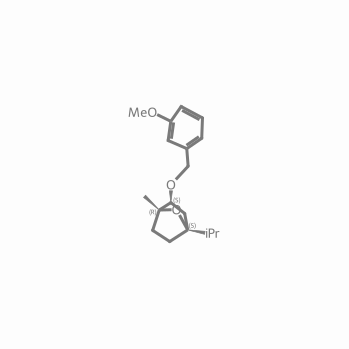 COc1cccc(CO[C@H]2C[C@]3(C(C)C)CC[C@@]2(C)O3)c1